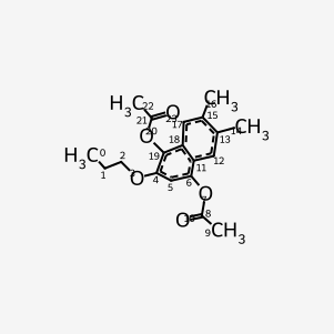 CCCOc1cc(OC(C)=O)c2cc(C)c(C)cc2c1OC(C)=O